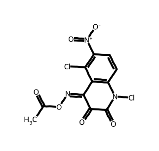 CC(=O)ON=C1C(=O)C(=O)N(Cl)c2ccc([N+](=O)[O-])c(Cl)c21